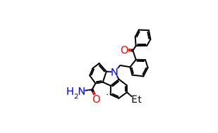 CCc1c[c]c2c3c(C(N)=O)cccc3n(Cc3ccccc3C(=O)c3ccccc3)c2c1